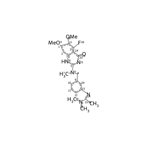 COc1cc2[nH]c(N(C)Cc3cccc(N=C(C)N(C)C)c3)nc(=O)c2c(F)c1OC